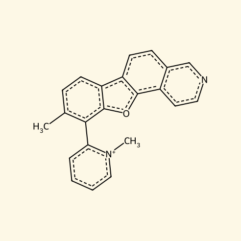 Cc1ccc2c(oc3c4ccncc4ccc23)c1-c1cccc[n+]1C